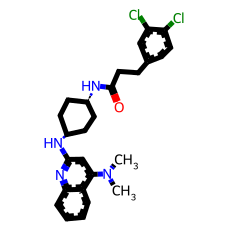 CN(C)c1cc(N[C@H]2CC[C@@H](NC(=O)CCc3ccc(Cl)c(Cl)c3)CC2)nc2ccccc12